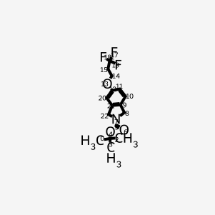 CC(C)(C)OC(=O)N1Cc2ccc(OCCC(F)(F)F)cc2C1